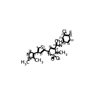 Cc1c(-c2csc(C3=NS(=O)(=O)N(C)C(C(=O)Nc4ccc(F)c(Cl)c4)=C3)c2)cnn1C